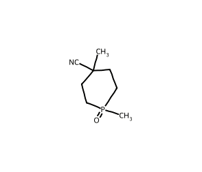 CC1(C#N)CCP(C)(=O)CC1